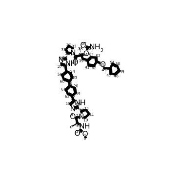 COC(=O)N[C@@H](C)C(=O)N1CCC[C@H]1c1ncc(-c2ccc(-c3ccc(-c4cnc([C@@H]5CCCN5C(=O)[C@](C)(Cc5ccc(OCc6ccccc6)cc5)OC(N)=O)[nH]4)cc3)cc2)[nH]1